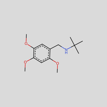 COc1cc(OC)c(OC)cc1CNC(C)(C)C